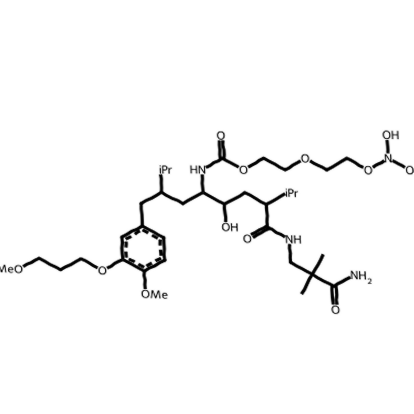 COCCCOc1cc(CC(CC(NC(=O)OCCOCCON(O)O)C(O)CC(C(=O)NCC(C)(C)C(N)=O)C(C)C)C(C)C)ccc1OC